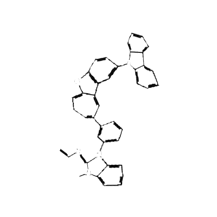 C=C/N=c1\n(C)c2ccccc2n1-c1cccc(C2=CCC=c3oc4ccc(-n5c6ccccc6c6ccccc65)cc4c3=C2)c1